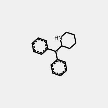 c1ccc([C](c2ccccc2)C2CCCCN2)cc1